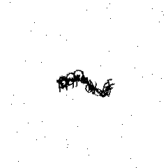 Cc1ccc(OCC(=O)NC2(C)CC(c3nc(COc4ccnc(C(F)(F)F)c4)no3)C2)cc1F